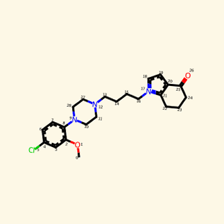 COc1cc(Cl)ccc1N1CCN(CCCCn2ccc3c2CCCC3=O)CC1